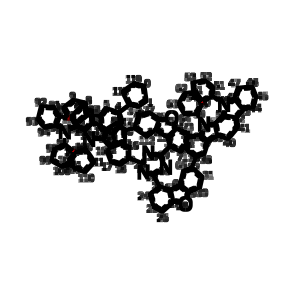 c1ccc(-c2cc(-c3ccccc3)cc(-c3cccc(-c4nc(-c5cccc6oc7ccc(-c8ccc9c(c8)c8ccc%10c%11ccccc%11n(-c%11ccccc%11)c%10c8n9-c8ccccc8)cc7c56)nc(-c5cccc6oc7ccc(-c8ccc9c(c8)c8ccc%10c%11ccccc%11n(-c%11ccccc%11)c%10c8n9-c8ccccc8)cc7c56)n4)c3)c2)cc1